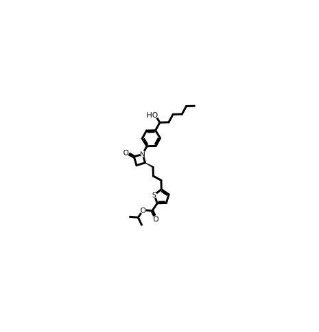 CCCCCC(O)c1ccc(N2C(=O)C[C@@H]2CCCc2ccc(C(=O)OC(C)C)s2)cc1